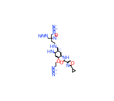 [N-]=[N+]=NCCOC1=CC(=N)/C(=C\NCCC(CN=[N+]=[N-])(CN=[N+]=[N-])N=O)C=C1NC(=O)c1coc(C2CC2)n1